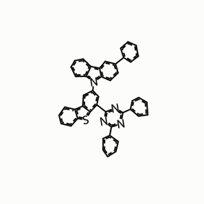 c1ccc(-c2ccc3c(c2)c2ccccc2n3-c2cc(-c3nc(-c4ccccc4)nc(-c4ccccc4)n3)c3sc4ccccc4c3c2)cc1